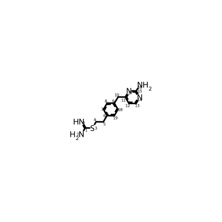 N=C(N)SCCc1ccc(Cc2ccnc(N)n2)cc1